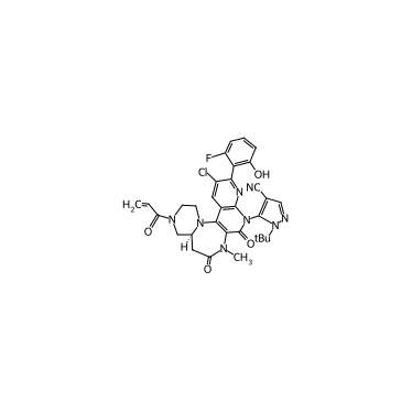 C=CC(=O)N1CCN2c3c(c(=O)n(-c4c(C#N)cnn4C(C)(C)C)c4nc(-c5c(O)cccc5F)c(Cl)cc34)N(C)C(=O)C[C@H]2C1